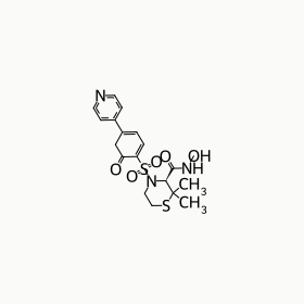 CC1(C)SCCN(S(=O)(=O)C2=CC=C(c3ccncc3)CC2=O)[C@H]1C(=O)NO